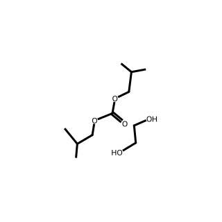 CC(C)COC(=O)OCC(C)C.OCCO